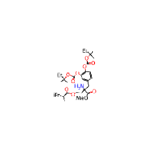 CCC(C)(C)OC(=O)Oc1ccc(C[C@](N)(CCOC(=O)C(C)C(C)C)C(=O)OC)cc1OC(=O)OC(C)(C)CC